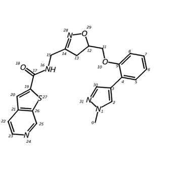 Cn1cc(-c2ccccc2OCC2CC(CNC(=O)c3cc4ccncc4s3)=NO2)cn1